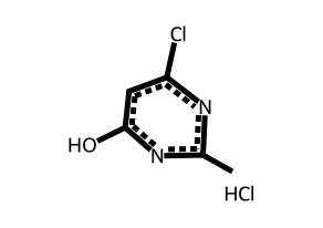 Cc1nc(O)cc(Cl)n1.Cl